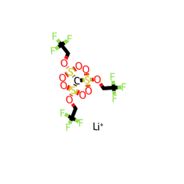 O=S(=O)(OCC(F)(F)F)[C-](S(=O)(=O)OCC(F)(F)F)S(=O)(=O)OCC(F)(F)F.[Li+]